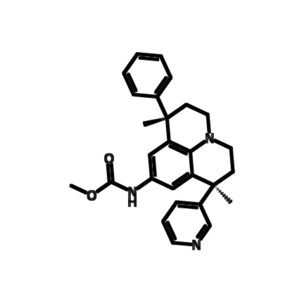 COC(=O)Nc1cc2c3c(c1)[C@](C)(c1cccnc1)CCN3CC[C@@]2(C)c1ccccc1